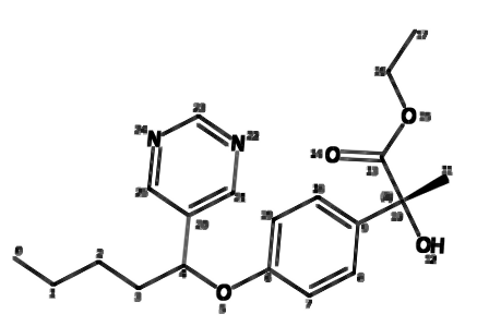 CCCCC(Oc1ccc([C@@](C)(O)C(=O)OCC)cc1)c1cncnc1